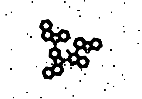 Cc1c(-n2c3cc(-n4c5ccccc5c5c6ccccc6ccc54)ccc3c3c4ccccc4ccc32)nc2ccccc2c1-c1cccc2c1oc1ccccc12